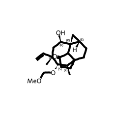 C=C[C@]1(C)C[C@@H](O)[C@]23C[C@@H]2CCC2(CCC(=O)C23)[C@@H](C)[C@@H]1OCOC